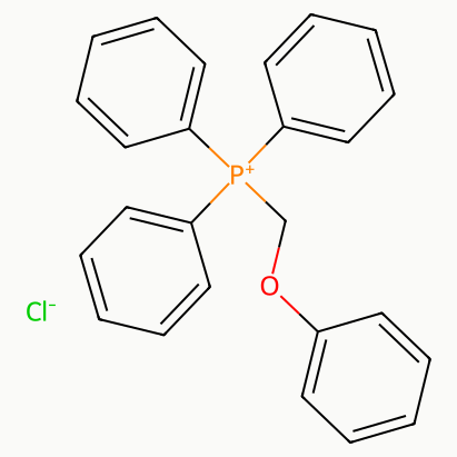 [Cl-].c1ccc(OC[P+](c2ccccc2)(c2ccccc2)c2ccccc2)cc1